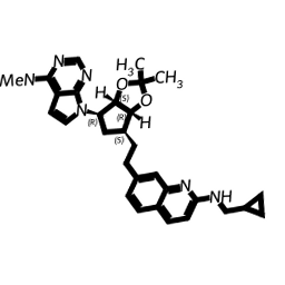 CNc1ncnc2c1ccn2[C@@H]1C[C@H](CCc2ccc3ccc(NCC4CC4)nc3c2)[C@H]2OC(C)(C)O[C@H]21